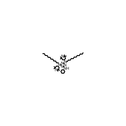 CCCCCCCCCCCCN(c1nc(NC2CCCCC2)nc(N(CCCCCCCCCCCC)C2CC(C)(C)N(C)C(C)(C)C2)n1)C1CC(C)(C)N(C)C(C)(C)C1